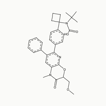 COCC1Oc2nc(-c3ccc(C4(N(C(=O)O)C(C)(C)C)CCC4)cc3)c(-c3ccccc3)cc2N(C)C1=O